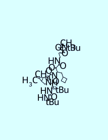 CN(C(C)(C)C)S(=O)(=O)CCNC(=O)C(=O)C(CC1CCC1)NC(=O)[C@@H]1C2C(CN1C(=O)[C@@H](NC(=O)NC(C)(C)C)C(C)(C)C)C2(C)C